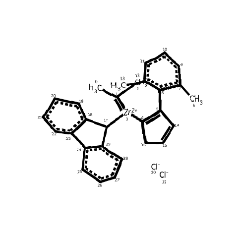 C[C](C)=[Zr+2]([C]1=C(c2c(C)cccc2C)C=CC1)[CH]1c2ccccc2-c2ccccc21.[Cl-].[Cl-]